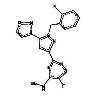 CC(C)(C)Nc1nc(-c2cc(-c3ccon3)n(Cc3ccccc3F)n2)ncc1F